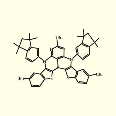 CC(C)(C)c1ccc2sc3c(c2c1)N(c1ccc2c(c1)C(C)(C)CC2(C)C)c1cc(C(C)(C)C)nc2c1B3c1sc3ccc(C(C)(C)C)cc3c1N2c1ccc2c(c1)C(C)(C)CC2(C)C